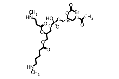 CNCCCCC(=O)OCC(COP(=O)(O)OC[C@@H](COC(C)=O)OC(=O)Br)OC(=O)CCNC